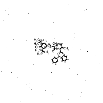 CC1=C(C(=O)OC(c2ccccc2)c2ccccc2)N2C(=O)[C@@](C)(N=Cc3cc(C(C)(C)C)c(O)c(C(C)(C)C)c3)[C@@H]2SC1